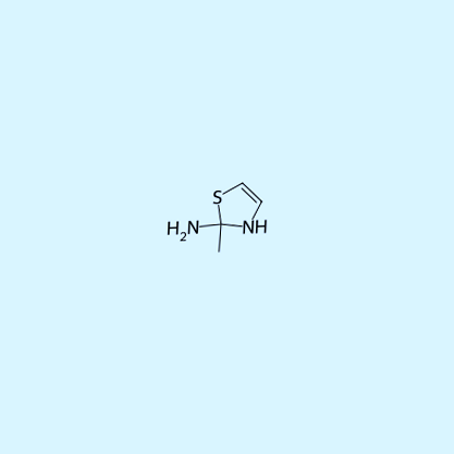 CC1(N)NC=CS1